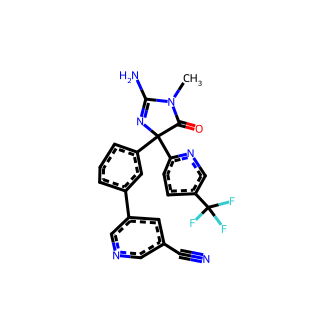 CN1C(=O)C(c2cccc(-c3cncc(C#N)c3)c2)(c2ccc(C(F)(F)F)cn2)N=C1N